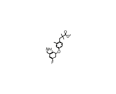 COC(=O)C(C)(C)Cc1ccc(OC2C=C(CN)C=C(F)C2)cc1C